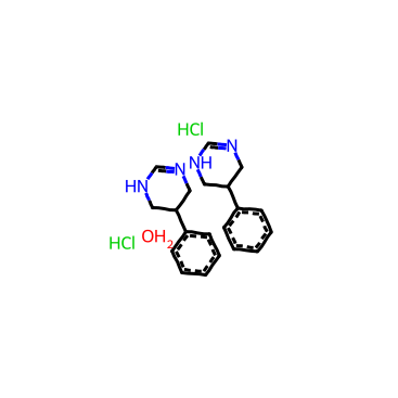 C1=NCC(c2ccccc2)CN1.C1=NCC(c2ccccc2)CN1.Cl.Cl.O